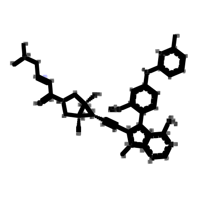 COc1cc(Oc2cccc(C)n2)ccc1-c1c(C#C[C@@H]2[C@H]3CN(C(=O)/C=C/CN(C)C)C[C@@H]23)n(C)c2ncnc(N)c12